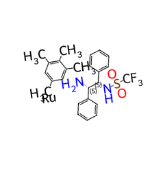 Cc1cc(C)c(C)c(C)c1.N[C@@H](c1ccccc1)[C@@H](NS(=O)(=O)C(F)(F)F)c1ccccc1.[Ru]